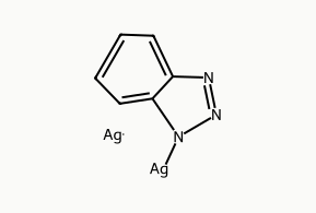 [Ag].[Ag][n]1nnc2ccccc21